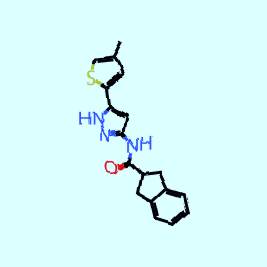 Cc1csc(-c2cc(NC(=O)C3Cc4ccccc4C3)n[nH]2)c1